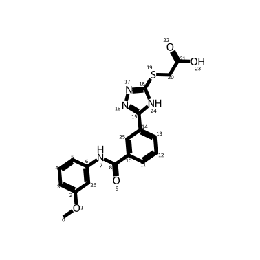 COc1cccc(NC(=O)c2cccc(-c3nnc(SCC(=O)O)[nH]3)c2)c1